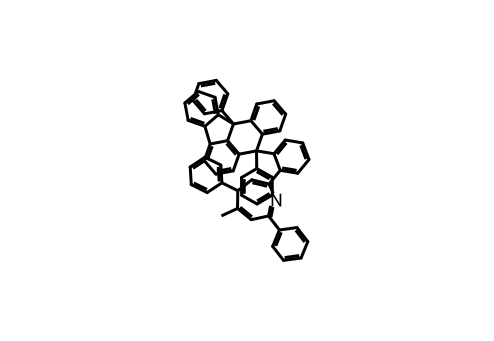 CC1=CC(c2ccccc2)=NC(c2ccccc2C2(c3ccccc3)c3ccccc3C3(c4ccccc4)c4ccccc4-c4cccc2c43)=CC1c1ccccc1